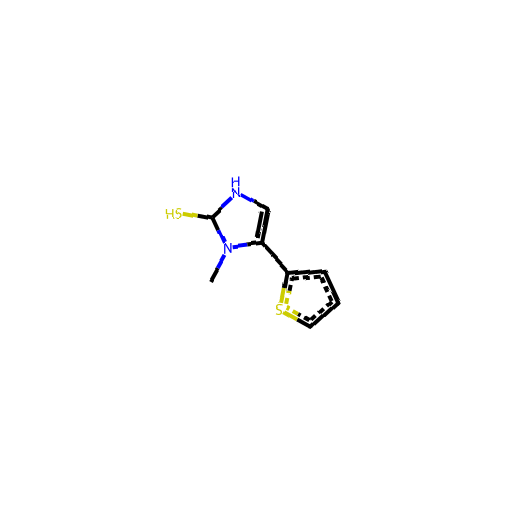 CN1C(c2cccs2)=CNC1S